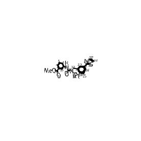 COC(=O)c1cccc(NC(=O)N(Cc2cccc(-c3nccs3)c2)C(C)C)c1